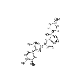 O=S(=O)(c1cc(-c2nc(-c3ccc(F)c(Br)c3)c(F)[nH]2)ccc1Cl)N1CCC(O)CC1